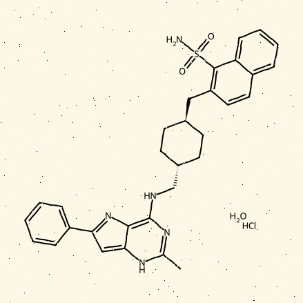 Cc1nc(NC[C@H]2CC[C@H](Cc3ccc4ccccc4c3S(N)(=O)=O)CC2)c2nc(-c3ccccc3)cc-2[nH]1.Cl.O